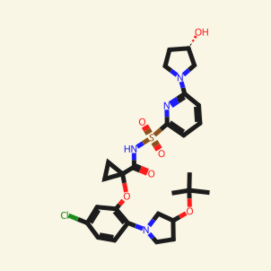 CC(C)(C)OC1CCN(c2ccc(Cl)cc2OC2(C(=O)NS(=O)(=O)c3cccc(N4CC[C@H](O)C4)n3)CC2)C1